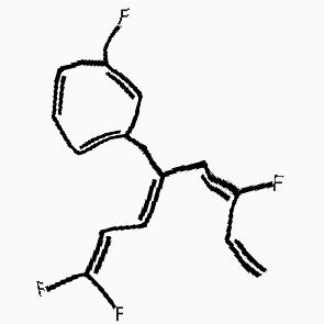 C=C/C(F)=C\C(=C\C=C(F)F)c1cccc(F)c1